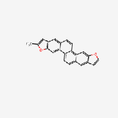 FC(F)(F)c1cc2cc3ccc4c5cc6occc6cc5ccc4c3cc2o1